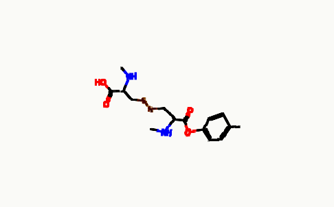 CNC(CSSCC(NC)C(=O)Oc1ccc(C)cc1)C(=O)O